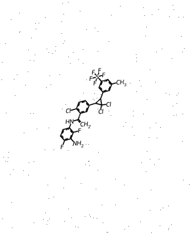 C=C(Nc1ccc(F)c(N)c1F)c1cc(C2C(c3cc(C)cc(S(F)(F)(F)(F)F)c3)C2(Cl)Cl)ccc1Cl